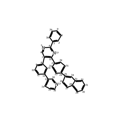 c1ccc(-c2ncc(-c3cccc(-c4cccnc4)c3)c(-c3ccc(-c4ccc5ccccc5c4)cc3)n2)cc1